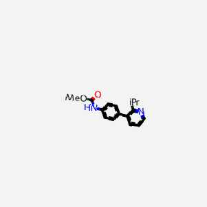 COC(=O)Nc1ccc(-c2cccnc2C(C)C)cc1